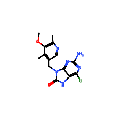 COc1c(C)ncc(Cn2c(=O)[nH]c3c(Cl)nc(N)nc32)c1C